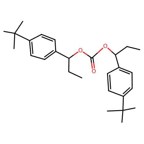 CCC(OC(=O)OC(CC)c1ccc(C(C)(C)C)cc1)c1ccc(C(C)(C)C)cc1